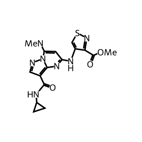 CNc1cc(Nc2csnc2C(=O)OC)nc2c(C(=O)NC3CC3)cnn12